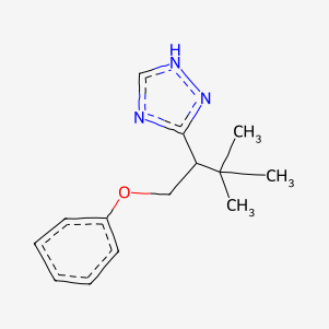 CC(C)(C)C(COc1ccccc1)c1nc[nH]n1